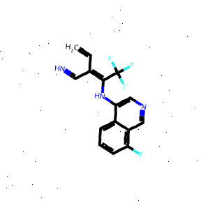 C=C/C(C=N)=C(/Nc1cncc2c(F)cccc12)C(F)(F)F